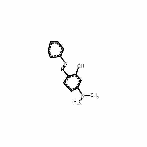 CN(C)c1ccc(N=Nc2ccccc2)c(O)c1